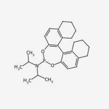 CC(C)N(C(C)C)p1oc2ccc3c(c2c2c4c(ccc2o1)CCCC4)CCCC3